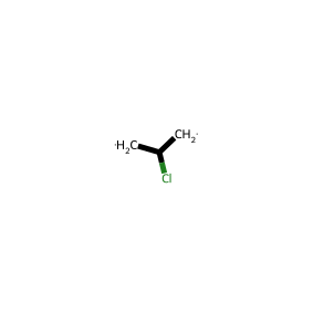 [CH2]C([CH2])Cl